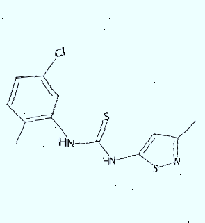 Cc1cc(NC(=S)Nc2cc(Cl)ccc2C)sn1